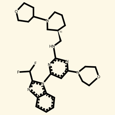 FC(F)c1nc2ccccc2n1-c1cc(N2CCOCC2)nc(NC[C@@H]2CCCN(C3CCOCC3)C2)n1